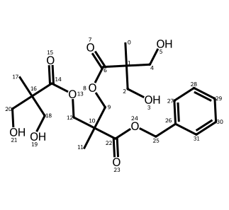 CC(CO)(CO)C(=O)OCC(C)(COC(=O)C(C)(CO)CO)C(=O)OCc1ccccc1